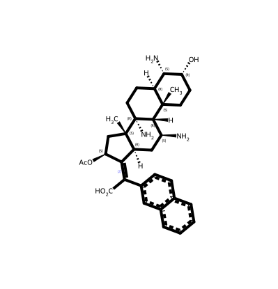 CC(=O)O[C@H]1C[C@@]2(C)[C@@H](C[C@H](N)[C@H]3[C@@]4(C)CC[C@@H](O)[C@@H](N)[C@@H]4CC[C@@]32N)/C1=C(/C(=O)O)c1ccc2ccccc2c1